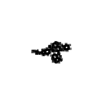 CC(C)CNc1nc2ccc(S(=O)(=O)N(CC(C)C)C[C@@H](O)[C@H](Cc3ccccc3)NC(=O)O[C@H]3CCO[C@H]4OCC(F)(F)C43)cc2s1